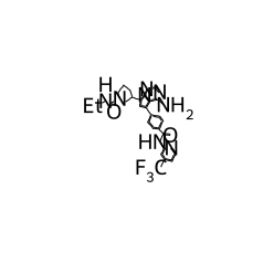 CCNC(=O)N1CCCC(c2cc(-c3ccc(C(=O)Nc4cc(C(F)(F)F)ccn4)cc3)c3c(N)ncnn23)C1